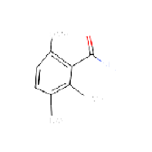 CNc1ccc(OC)c(C(N)=O)c1OC